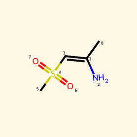 CC(N)=CS(C)(=O)=O